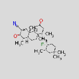 CC1CC(C)(C)CC[C@]1(F)CC[C@]1(C)CC(=O)C=C2[C@@]3(C)C=C(C#N)C(=O)[C@@H](C)[C@@H]3CC[C@]21C